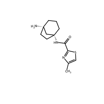 Cc1csc(C(=O)N[C@]23CCC[C@](N)(CC2)C3)n1